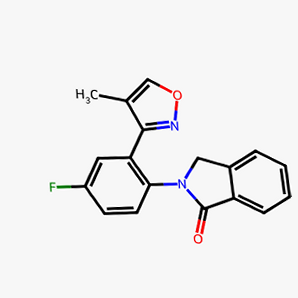 Cc1conc1-c1cc(F)ccc1N1Cc2ccccc2C1=O